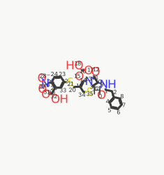 O=C(Cc1ccccc1)N[C@@H]1C(=O)N2C(OC(=O)O)=C(CSc3ccc([N+](=O)[O-])c(C(=O)O)c3)CS[C@@H]12